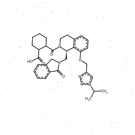 CC(C)n1cc(COc2cccc3c2[C@@H](CN2Cc4ccccc4C2=O)N(C(=O)C2CCCCC2C(=O)O)CC3)nn1